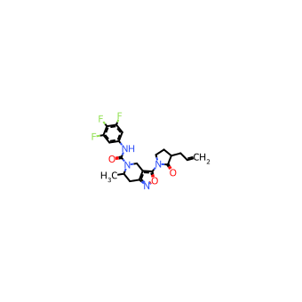 C=CCC1CCN(c2onc3c2CN(C(=O)Nc2cc(F)c(F)c(F)c2)C(C)C3)C1=O